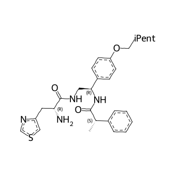 CCCC(C)COc1ccc([C@H](CNC(=O)[C@H](N)Cc2cscn2)NC(=O)[C@@H](C)c2ccccc2)cc1